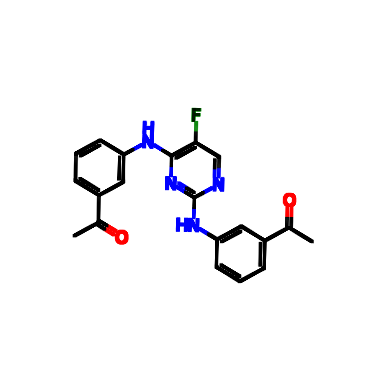 CC(=O)c1cccc(Nc2ncc(F)c(Nc3cccc(C(C)=O)c3)n2)c1